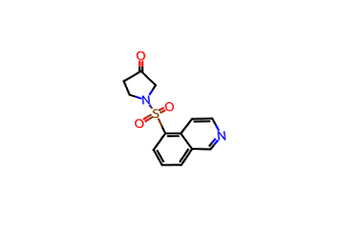 O=C1CCN(S(=O)(=O)c2cccc3cnccc23)C1